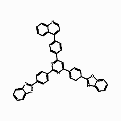 C1=CC(c2nc3ccccc3o2)CC=C1c1cc(-c2ccc(-c3ccnc4ccccc34)cc2)nc(-c2ccc(-c3nc4ccccc4o3)cc2)n1